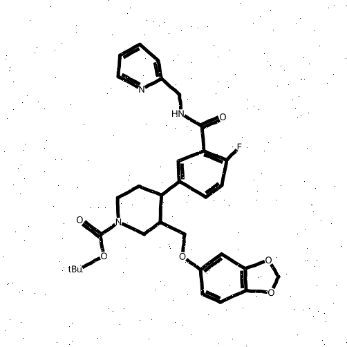 CC(C)(C)OC(=O)N1CCC(c2ccc(F)c(C(=O)NCc3ccccn3)c2)C(COc2ccc3c(c2)OCO3)C1